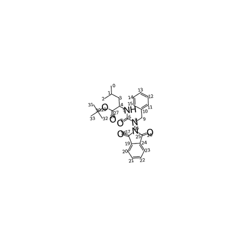 CC(C)CC(NC(=O)N(Cc1ccccc1)N1C(=O)c2ccccc2C1=O)C(=O)OC(C)(C)C